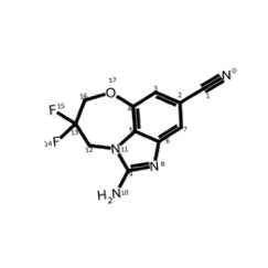 N#Cc1cc2c3c(c1)nc(N)n3CC(F)(F)CO2